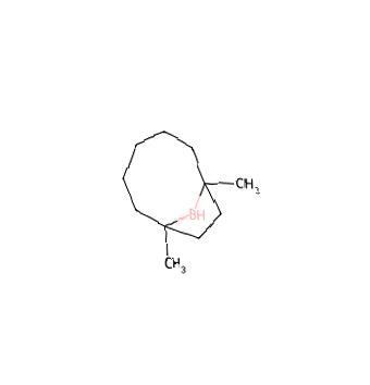 CC12BC(C)(CCCCC1)CC2